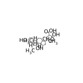 CC[C@H]1[C@@H](O)[C@@H]2[C@H](CC[C@]3(C)[C@@H]([C@H](C)CC(C(=O)O)C(=O)O)CC[C@@H]23)[C@@]2(C)CC[C@@H](O)C[C@@H]12